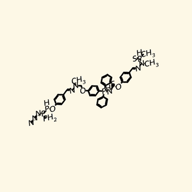 CN(COc1ccc(P(=N[PH](=S)Oc2ccc(C=NN(C)[PH](C)=S)cc2)(c2ccccc2)c2ccccc2)cc1)N=Cc1ccc(OPP(P)N=[N+]=[N-])cc1